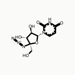 [N-]=[N+]=N[C@]1(CO)O[C@@H](n2ccc(=O)[nH]c2=O)[C@H](O)[C@H]1O